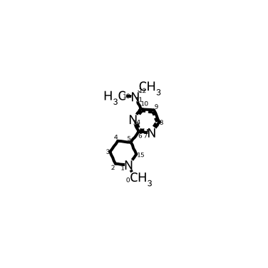 CN1CCCC(c2nccc(N(C)C)n2)C1